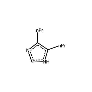 CCCc1n[c][nH]c1CCC